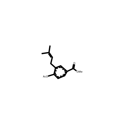 COC(=O)c1ccc(OC(C)=O)c(CC=C(C)C)c1